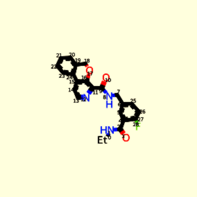 CCNC(=O)c1cc(CNC(=O)c2nccc3c2OCc2ccccc2-3)ccc1F